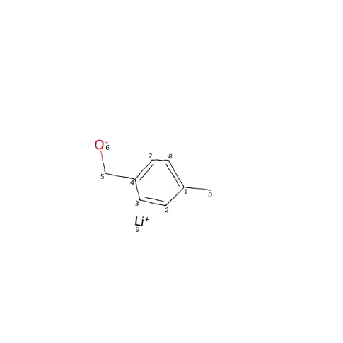 Cc1ccc(C[O-])cc1.[Li+]